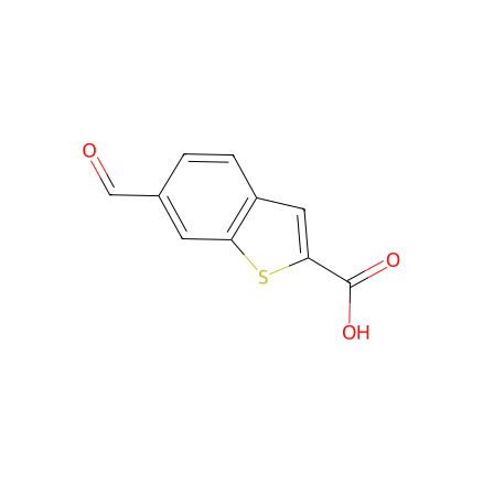 O=Cc1ccc2cc(C(=O)O)sc2c1